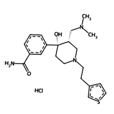 CN(C)C[C@@H]1CN(CCc2ccsc2)CC[C@@]1(O)c1cccc(C(N)=O)c1.Cl